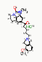 COc1cccc2c1CCN(CCCCC(=O)c1cc3c4c(c1)n(C)c(=O)n4CCC3)C2.Cl